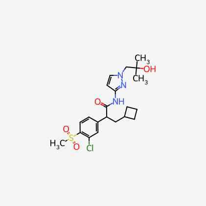 CC(C)(O)Cn1ccc(NC(=O)C(CC2CCC2)c2ccc(S(C)(=O)=O)c(Cl)c2)n1